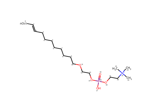 CCCCCCCCC=CCCCCCCCCOCCOP(=O)(O)OCC[N+](C)(C)C